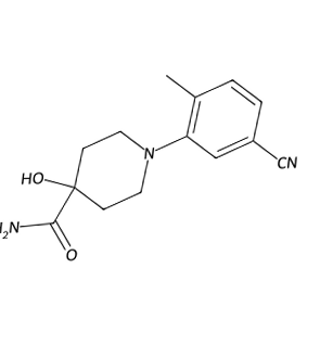 Cc1ccc(C#N)cc1N1CCC(O)(C(N)=O)CC1